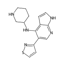 c1cc2c(NC3CCCNC3)c(-c3ccsn3)cnc2[nH]1